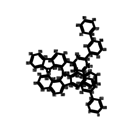 c1ccc(-c2ccc(-c3nc(-c4cccc(-c5ccccc5)c4)nc(-c4ccc5c(oc6ccccc65)c4-n4c5cc6ccccc6cc5c5ccc6ccccc6c54)n3)cc2)cc1